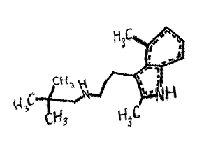 Cc1[nH]c2cccc(C)c2c1CCNCC(C)(C)C